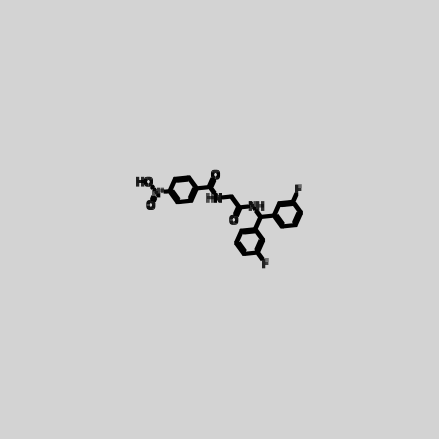 O=C(CNC(=O)c1ccc([N+](=O)O)cc1)NC(c1cccc(F)c1)c1cccc(F)c1